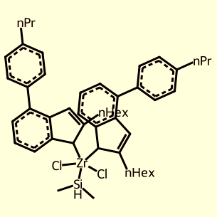 CCCCCCC1=Cc2c(-c3ccc(CCC)cc3)cccc2[CH]1[Zr]([Cl])([Cl])([CH]1C(CCCCCC)=Cc2c(-c3ccc(CCC)cc3)cccc21)[SiH](C)C